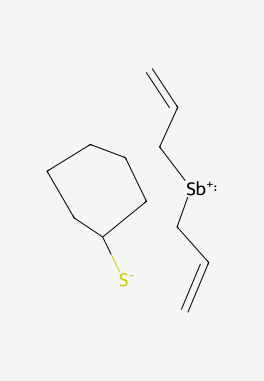 C=C[CH2][Sb+][CH2]C=C.[S-]C1CCCCC1